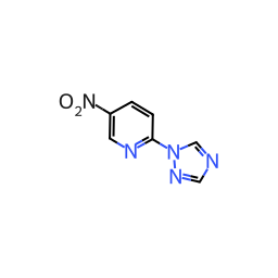 O=[N+]([O-])c1ccc(-n2cncn2)nc1